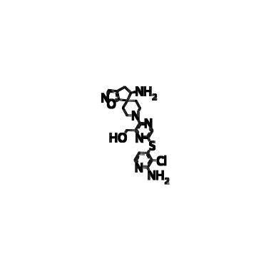 Nc1nccc(Sc2cnc(N3CCC4(CC3)c3oncc3C[C@H]4N)c(CO)n2)c1Cl